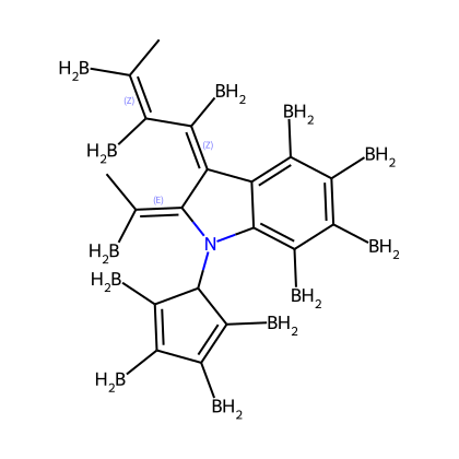 BC1=C(B)C(n2c(=C(\B)C)/c(=C(B)\C(B)=C(\B)C)c3c(B)c(B)c(B)c(B)c32)C(B)=C1B